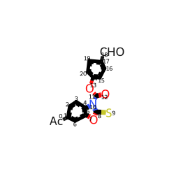 CC(=O)c1ccc2c(c1)oc(=S)n2C(=O)Oc1ccc(C=O)cc1